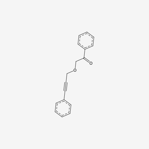 O=C(COCC#Cc1ccccc1)c1ccccc1